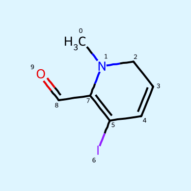 CN1CC=CC(I)=C1C=O